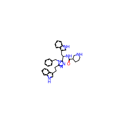 O=C(NC(Cc1c[nH]c2ccccc12)c1nnc(CCc2c[nH]c3ccccc23)n1Cc1ccccc1)C1CCCNC1